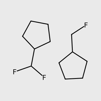 FC(F)C1CCCC1.FCC1CCCC1